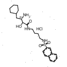 Cl.N[C@H](CC1CCCCC1)C(O)C(=O)NCCCCNS(=O)(=O)c1ccc2ccccc2c1